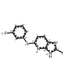 Cc1nc2ccc(Sc3cccc(F)c3)nc2[nH]1